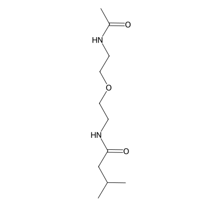 CC(=O)NCCOCCNC(=O)CC(C)C